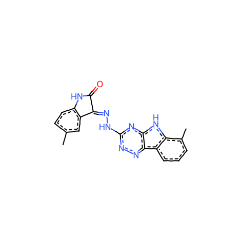 Cc1ccc2c(c1)/C(=N\Nc1nnc3c(n1)[nH]c1c(C)cccc13)C(=O)N2